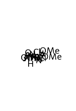 C=CC(=O)N[C@H]1CCOC[C@H]1Nc1ncc2cc(-c3c(Cl)c(OC)cc(OC)c3Cl)c3nncn3c2n1